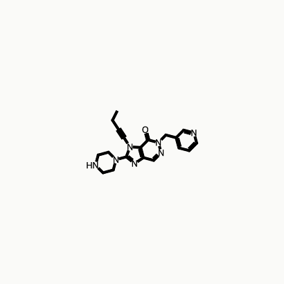 CCC#Cn1c(N2CCNCC2)nc2cnn(Cc3cccnc3)c(=O)c21